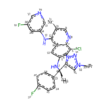 [2H][C@](Nc1cc(Cl)c2ncc(C#N)c(Nc3cncc(F)c3)c2c1)(c1ccc(F)cc1)c1cn(C(C)C)nn1